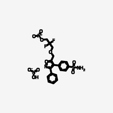 NS(=O)(=O)c1ccc(-c2c(-c3ccccc3)noc2COCC(F)(F)CO[N+](=O)[O-])cc1.O=[N+]([O-])O